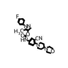 Cc1c(OC(=O)Nc2ccc(N3CCC(N4CCOCC4)CC3)c(C#N)c2)cnn1-c1ccc(F)cc1